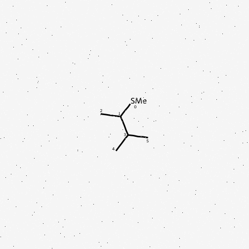 CSC(C)C(C)C